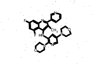 Cc1c(-c2cccnc2)nc2cc(F)cc(F)c2c1Nc1cc(N2CCOCC2)cnc1N1CCOCC1